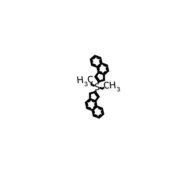 CCS(CC)(C1=Cc2c(ccc3ccccc23)C1)C1=Cc2c(ccc3ccccc23)C1